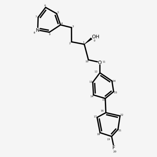 O[C@H](CCc1cccnc1)COc1ccc(-c2ccc(F)cc2)cc1